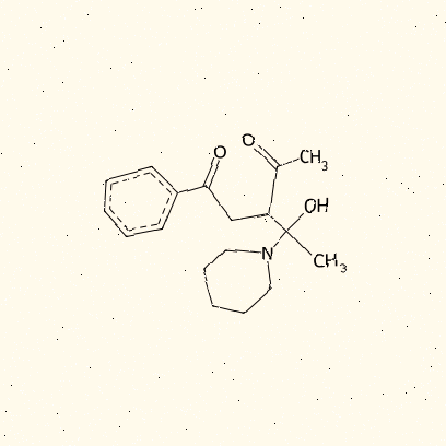 CC(=O)C(CC(=O)c1ccccc1)C(C)(O)N1CCCCC1